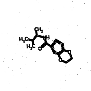 CC(C)C(C)NC(=O)c1ccc2c(c1)OCCO2